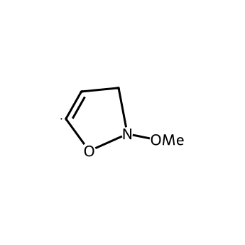 CON1CC=[C]O1